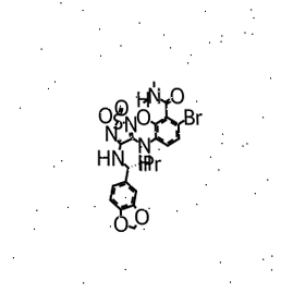 CC(C)[C@@H](NC1=NS(=O)(=O)N=C1Nc1ccc(Br)c(C(=O)N(C)C)c1O)c1ccc2c(c1)OCO2